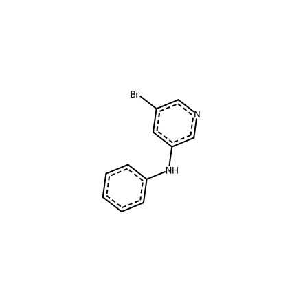 Brc1cncc(Nc2ccccc2)c1